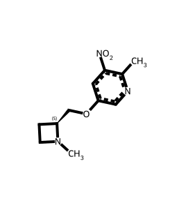 Cc1ncc(OC[C@@H]2CCN2C)cc1[N+](=O)[O-]